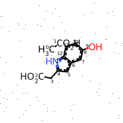 CC(=O)O.O=C(O)Cc1cc2cc(O)ccc2[nH]1